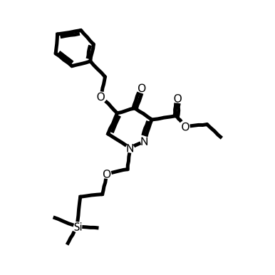 CCOC(=O)c1nn(COCC[Si](C)(C)C)cc(OCc2ccccc2)c1=O